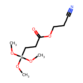 CO[Si](CCC(=O)OCCC#N)(OC)OC